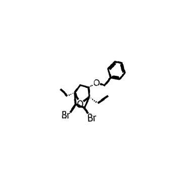 CC[C@]12C[C@H](OCc3ccccc3)[C@](CC)(O1)C(Br)C2Br